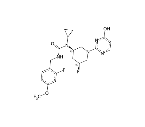 O=C(NCc1ccc(OC(F)(F)F)cc1F)N(C1CC1)[C@@H]1C[C@H](F)CN(c2nccc(O)n2)C1